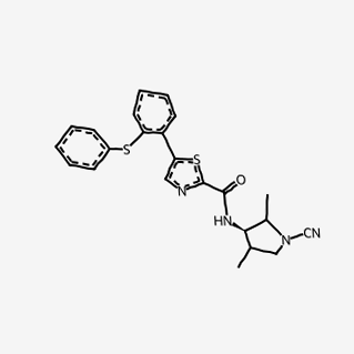 CC1CN(C#N)C(C)[C@@H]1NC(=O)c1ncc(-c2ccccc2Sc2ccccc2)s1